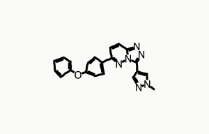 Cn1cc(-c2nnc3ccc(-c4ccc(Oc5ccccc5)cc4)nn23)cn1